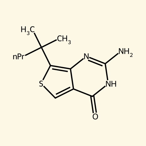 CCCC(C)(C)c1scc2c(=O)[nH]c(N)nc12